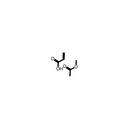 C=CC(=O)O.COC(C)=O